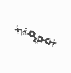 O=C(NCC(F)(F)F)Nc1cccc(-c2cnc3cc(-c4ccc(C(F)(F)F)nc4)ccn23)c1